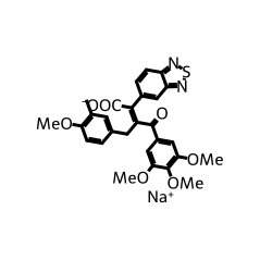 COc1ccc(CC(C(=O)c2cc(OC)c(OC)c(OC)c2)=C(C(=O)[O-])c2ccc3nsnc3c2)cc1C.[Na+]